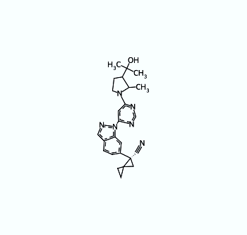 CC1C(C(C)(C)O)CCN1c1cc(-n2ncc3ccc([C@@]4(C#N)CC45CC5)cc32)ncn1